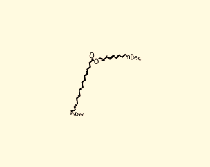 CCCCCCCCCCCCCCCCCCCCCCCCCC(=O)OCCCCCCCCCCCCCCCCCCC